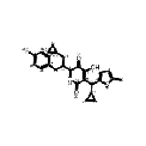 Cc1ccc(C(C2=C(O)C(=O)C(C(Cc3ccc(F)cc3)CC3CC3)OC2=O)C2CC2)s1